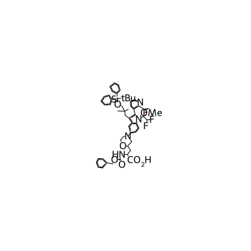 CO[C@@H](C)c1ncccc1-c1c(CC(C)(C)CO[Si](c2ccccc2)(c2ccccc2)C(C)(C)C)c2cc(N3CCOC(CC(NC(=O)OCc4ccccc4)C(=O)O)C3)ccc2n1C(F)C(F)F